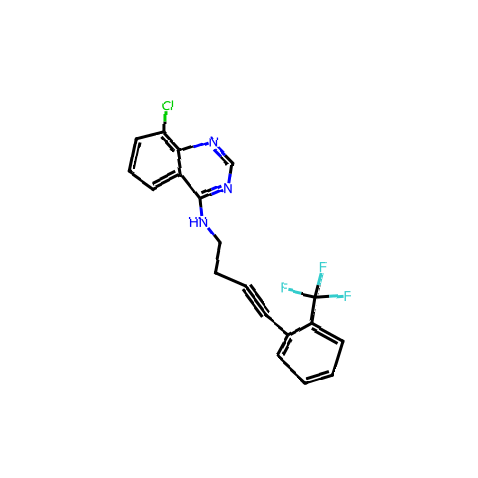 FC(F)(F)c1ccccc1C#CCCNc1ncnc2c(Cl)cccc12